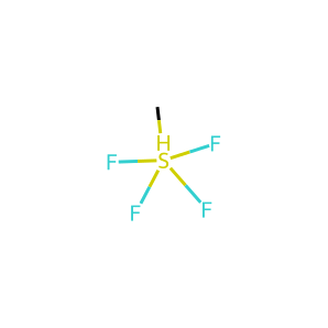 C[SH](F)(F)(F)F